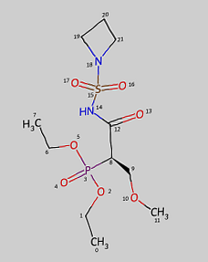 CCOP(=O)(OCC)[C@H](COC)C(=O)NS(=O)(=O)N1CCC1